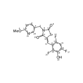 COc1ccc(CN2C(=O)SC(=Cc3c(F)cc(F)c(O)c3F)C2=O)cn1